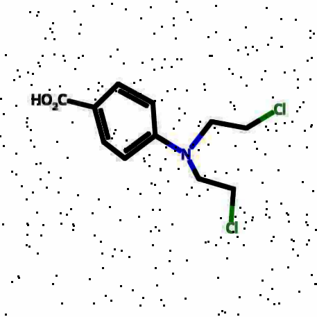 O=C(O)c1ccc(N(CCCl)CCCl)cc1